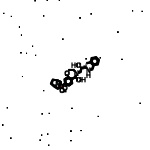 COC1CC2CCC(C1)N2C(=O)c1ccc2c(c1)OCCN(C[C@@H](O)[C@@H]1Cc3ccccc3CN1)C2O